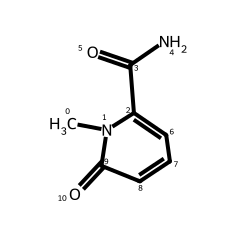 Cn1c(C(N)=O)cccc1=O